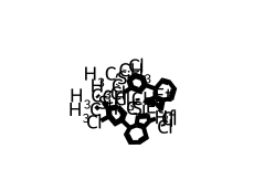 CCC1=C2C3=C(C=CC=CC3c3cc(Cl)c([Si](C)(C)C)c(Cl)c3)[CH]1[Hf]([Cl])([Cl])[CH]1C3=C(C(=C1CC)[Si]2(C)C)C(c1cc(Cl)c([Si](C)(C)C)c(Cl)c1)C=CC=C3